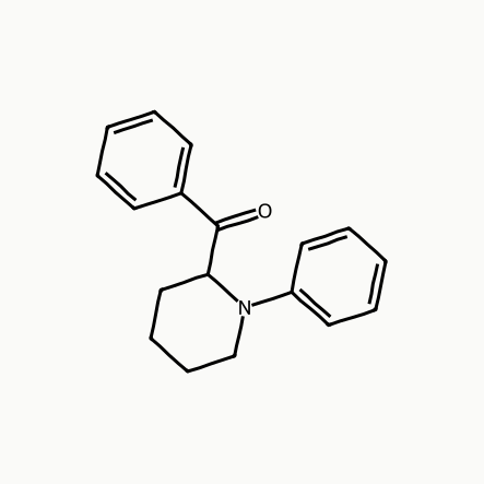 O=C(c1ccccc1)C1CCCCN1c1ccccc1